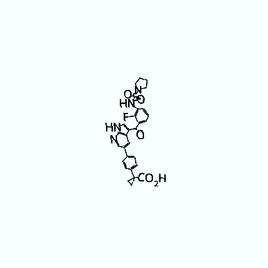 O=C(c1cccc(NS(=O)(=O)N2CCCC2)c1F)c1c[nH]c2ncc(-c3ccc(C4(C(=O)O)CC4)cc3)cc12